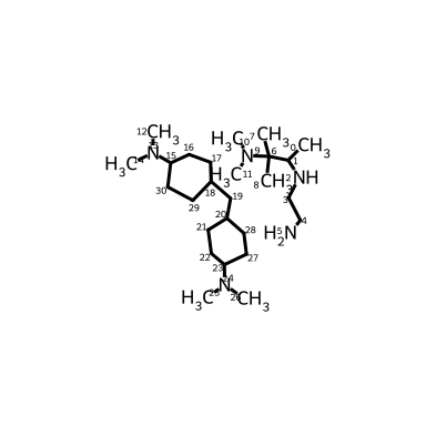 CC(NCCN)C(C)(C)N(C)C.CN(C)C1CCC(CC2CCC(N(C)C)CC2)CC1